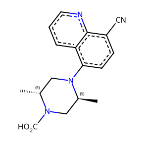 C[C@@H]1CN(c2ccc(C#N)c3ncccc23)[C@@H](C)CN1C(=O)O